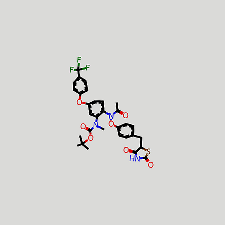 CC(=O)N(Oc1ccc(CC2SC(=O)NC2=O)cc1)c1ccc(Oc2ccc(C(F)(F)F)cc2)cc1N(C)C(=O)OC(C)(C)C